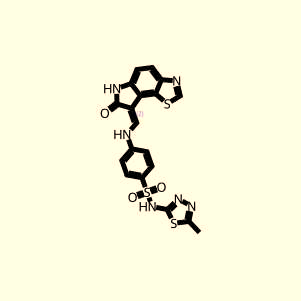 Cc1nnc(NS(=O)(=O)c2ccc(N/C=C3\C(=O)Nc4ccc5ncsc5c43)cc2)s1